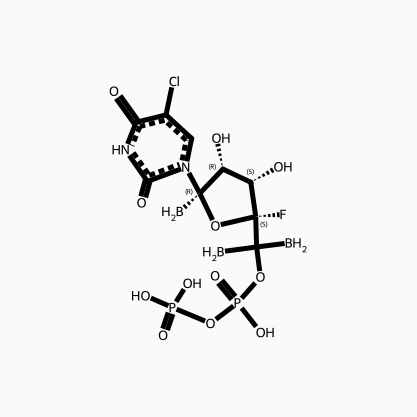 BC(B)(OP(=O)(O)OP(=O)(O)O)[C@@]1(F)O[C@@](B)(n2cc(Cl)c(=O)[nH]c2=O)[C@H](O)[C@@H]1O